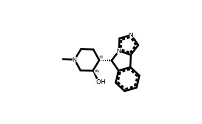 CN1CC[C@H](C2c3ccccc3-c3cncn32)[C@@H](O)C1